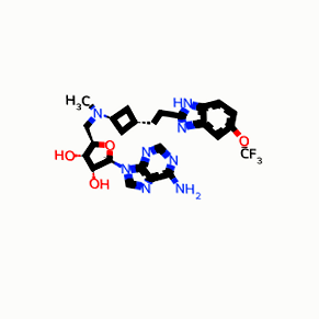 CN(C[C@H]1O[C@@H](n2cnc3c(N)ncnc32)[C@H](O)[C@@H]1O)[C@H]1C[C@@H](CCc2nc3cc(OC(F)(F)F)ccc3[nH]2)C1